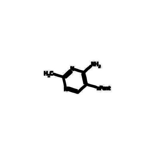 CCCCCc1cnc(C)nc1N